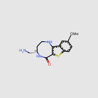 COc1ccc2sc3c(c2c1)NCC[C@@H](CN)NC3=O